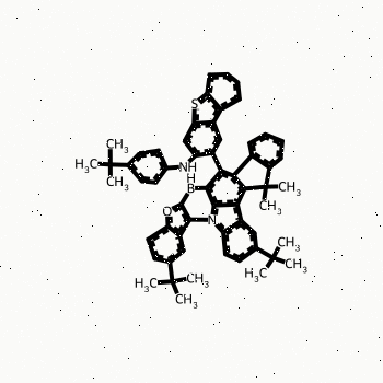 CC(C)(C)c1ccc(Nc2cc3sc4ccccc4c3cc2-c2c3c(c4c5cc(C(C)(C)C)ccc5n5c4c2Bc2oc4ccc(C(C)(C)C)cc4c2-5)C(C)(C)c2ccccc2-3)cc1